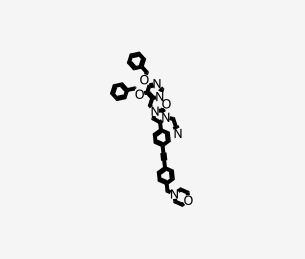 N#CCN1C(=O)N(Cc2ncnc(OCc3ccccc3)c2OCc2ccccc2)CC1c1ccc(C#Cc2ccc(CN3CCOCC3)cc2)cc1